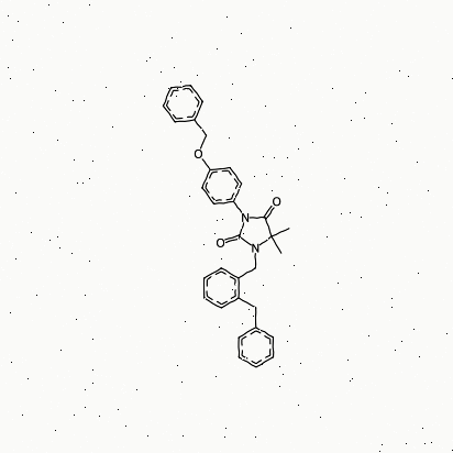 CC1(C)C(=O)N(c2ccc(OCc3ccccc3)cc2)C(=O)N1Cc1ccccc1Cc1ccccc1